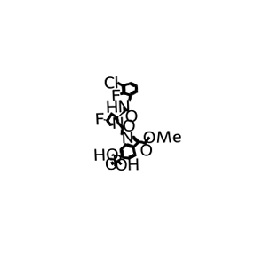 COC(=O)c1cn(CC(=O)N2C[C@H](F)C[C@H]2C(=O)NCc2cccc(Cl)c2F)c2cc(P(=O)(O)O)ccc12